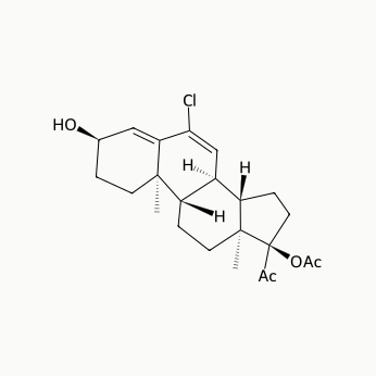 CC(=O)O[C@]1(C(C)=O)CC[C@H]2[C@@H]3C=C(Cl)C4=C[C@H](O)CC[C@]4(C)[C@H]3CC[C@@]21C